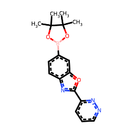 CC1(C)OB(c2ccc3nc(-c4cccnn4)oc3c2)OC1(C)C